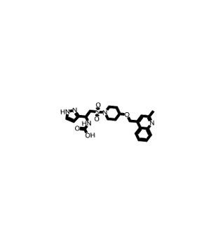 Cc1cc(COC2CCN(S(=O)(=O)CC(NC(=O)O)c3cc[nH]n3)CC2)c2ccccc2n1